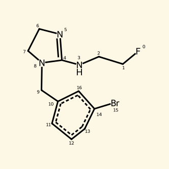 FCCNC1=NCCN1Cc1cccc(Br)c1